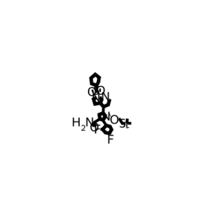 C[Si](C)(C)CCOCn1c(-c2ccnc3c2ccn3S(=O)(=O)c2ccccc2)cc(C(N)=O)c1-c1ccc(F)cc1F